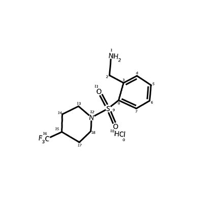 Cl.NCc1ccccc1S(=O)(=O)N1CCC(C(F)(F)F)CC1